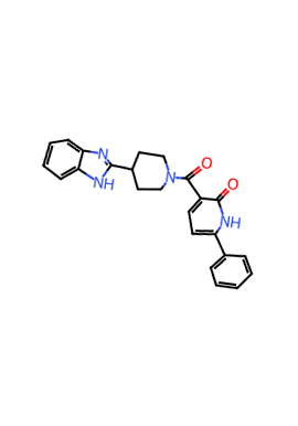 O=C(c1ccc(-c2ccccc2)[nH]c1=O)N1CCC(c2nc3ccccc3[nH]2)CC1